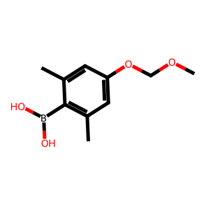 COCOc1cc(C)c(B(O)O)c(C)c1